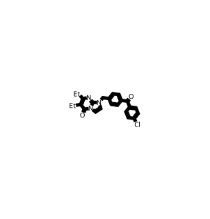 CCc1nc2n(Cc3ccc(C(=O)c4ccc(Cl)cc4)cc3)ccn2c(=O)c1CC